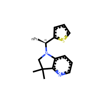 CCC[C@@H](c1cccs1)N1CC(C)(C)c2ncccc21